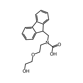 O=C(O)N(CCOCCO)CC1c2ccccc2-c2ccccc21